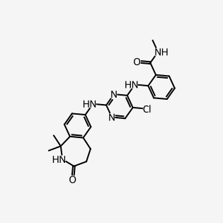 CNC(=O)c1ccccc1Nc1nc(Nc2ccc3c(c2)CCC(=O)NC3(C)C)ncc1Cl